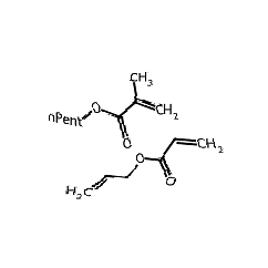 C=C(C)C(=O)OCCCCC.C=CCOC(=O)C=C